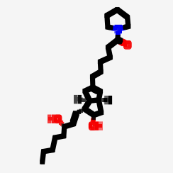 CCCCC[C@H](O)/C=C/[C@@H]1[C@H]2CC(CCCCCC(=O)N3CCCCC3)=C[C@H]2C[C@H]1O